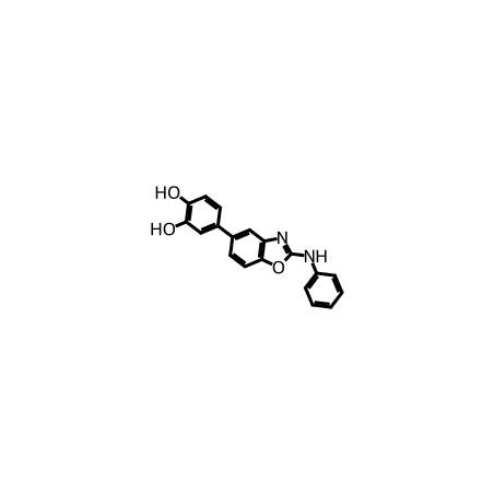 Oc1ccc(-c2ccc3oc(Nc4ccccc4)nc3c2)cc1O